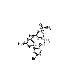 CCOc1ccc(Br)cc1-c1cc(Nc2cccc(C(N)=O)c2)nc(N)n1